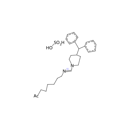 CC(=O)CCCCCC/N=C/N1CCC(C(c2ccccc2)c2ccccc2)CC1.O=S(=O)(O)O